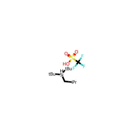 CC(C)C[SiH](C(C)(C)C)C(C)(C)C.O=S(=O)(O)C(F)(F)F